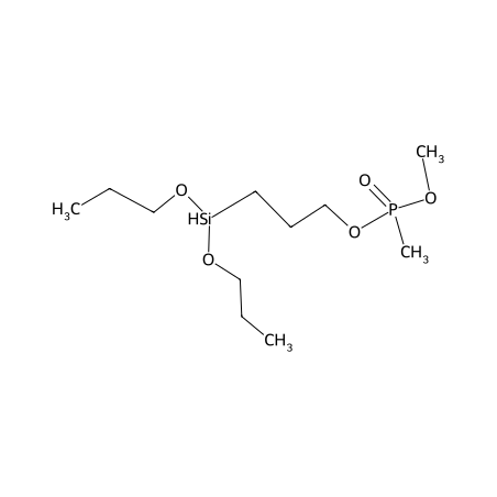 CCCO[SiH](CCCOP(C)(=O)OC)OCCC